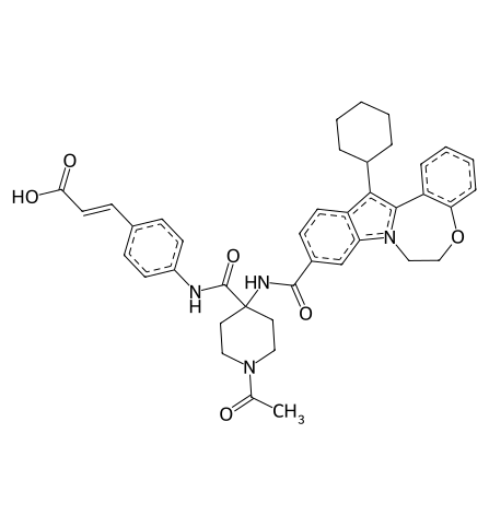 CC(=O)N1CCC(NC(=O)c2ccc3c(C4CCCCC4)c4n(c3c2)CCOc2ccccc2-4)(C(=O)Nc2ccc(C=CC(=O)O)cc2)CC1